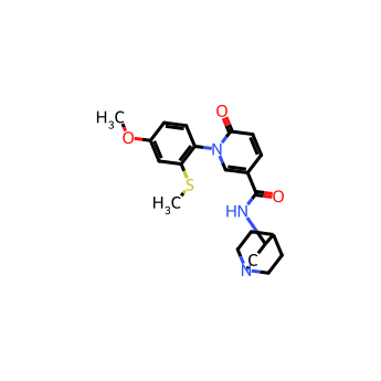 COc1ccc(-n2cc(C(=O)NC3CN4CCC3CC4)ccc2=O)c(SC)c1